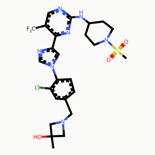 CC1(O)CN(Cc2ccc(-n3cnc(-c4nc(NC5CCN(S(C)(=O)=O)CC5)ncc4C(F)(F)F)c3)c(Cl)c2)C1